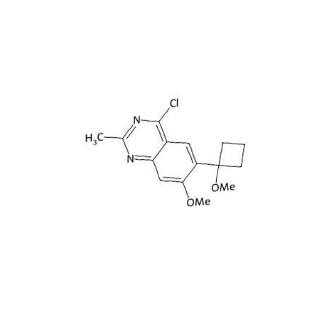 COc1cc2nc(C)nc(Cl)c2cc1C1(OC)CCC1